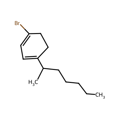 CCCCCC(C)C1=CC=C(Br)CC1